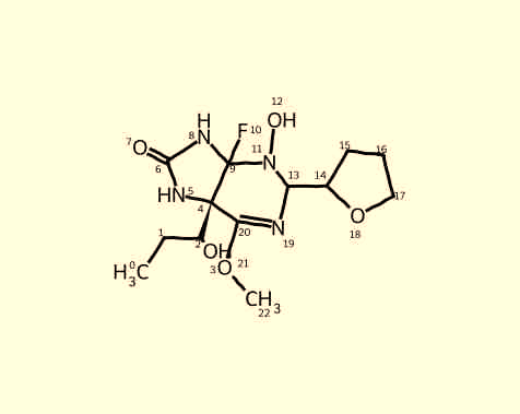 CCC(O)[C@@]12NC(=O)NC1(F)N(O)C(C1CCCO1)N=C2OC